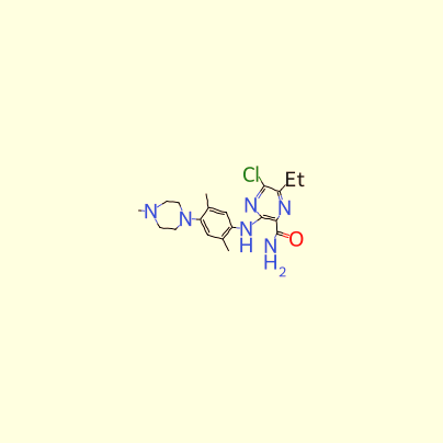 CCc1nc(C(N)=O)c(Nc2cc(C)c(N3CCN(C)CC3)cc2C)nc1Cl